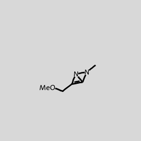 COCc1c2n(C)n1-2